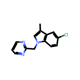 Cc1cn(Cc2ncccn2)c2ccc(Cl)cc12